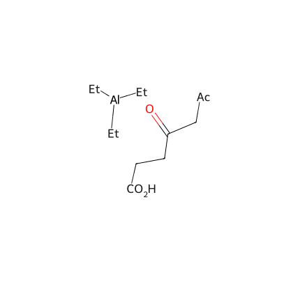 CC(=O)CC(=O)CCC(=O)O.C[CH2][Al]([CH2]C)[CH2]C